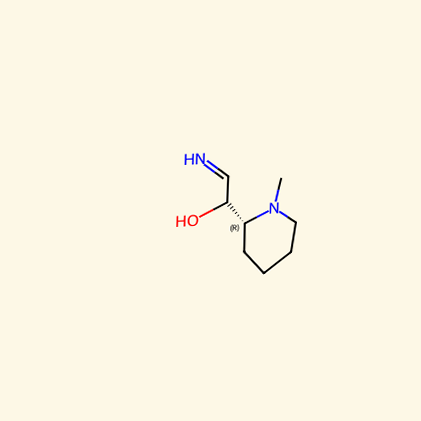 CN1CCCC[C@@H]1C(O)C=N